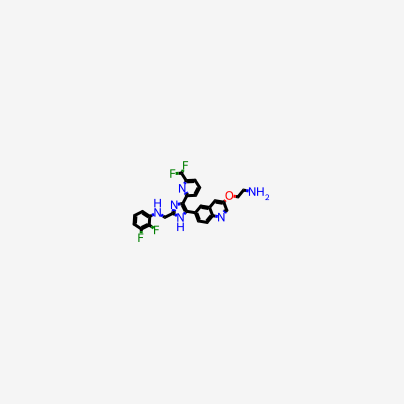 NCCOc1cnc2ccc(-c3[nH]c(CNc4cccc(F)c4F)nc3-c3cccc(C(F)F)n3)cc2c1